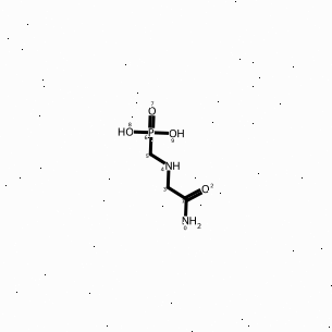 NC(=O)CNCP(=O)(O)O